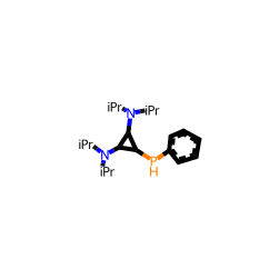 CC(C)N(C(C)C)C1C(Pc2ccccc2)C1N(C(C)C)C(C)C